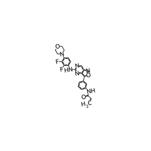 C=CC(=O)Nc1cccc(-c2onc3cnc(Nc4ccc(N5CCOCC5)c(F)c4F)nc23)c1